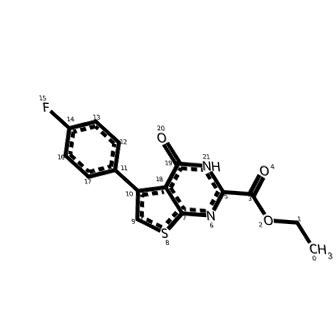 CCOC(=O)c1nc2scc(-c3ccc(F)cc3)c2c(=O)[nH]1